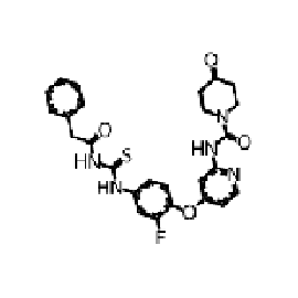 O=C1CCN(C(=O)Nc2cc(Oc3ccc(NC(=S)NC(=O)Cc4ccccc4)cc3F)ccn2)CC1